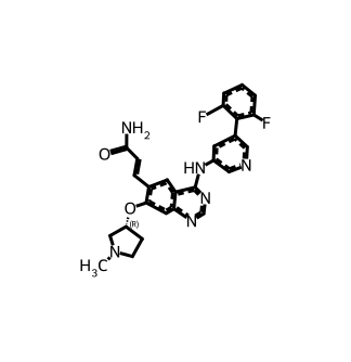 CN1CC[C@@H](Oc2cc3ncnc(Nc4cncc(-c5c(F)cccc5F)c4)c3cc2C=CC(N)=O)C1